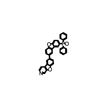 O=P(c1ccccc1)(c1ccccc1)c1ccc2oc3ccc(-c4ccc5oc6cnccc6c5c4)cc3c2c1